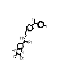 CCc1nc2cc(C(NCCN3CCC(C(=O)c4ccc(F)cc4)CC3)C(C)C)ccc2[nH]c1=O